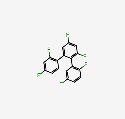 Fc1[c]c(F)c(-c2cc(F)ccc2F)c(-c2ccc(F)cc2F)c1